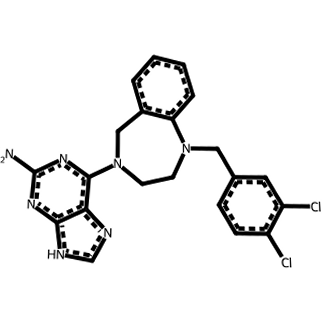 Nc1nc(N2CCN(Cc3ccc(Cl)c(Cl)c3)c3ccccc3C2)c2nc[nH]c2n1